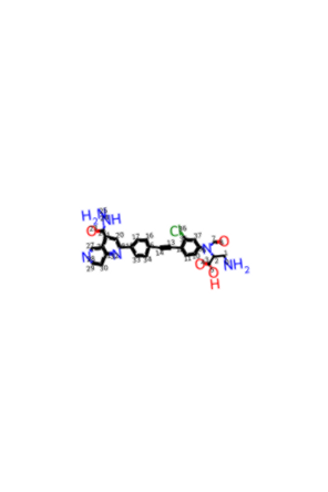 NCC(C(=O)O)N(C=O)c1ccc(C#Cc2ccc(-c3cc(C(=O)NN)c4cnccc4n3)cc2)c(Cl)c1